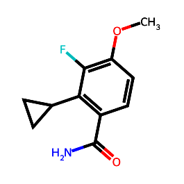 COc1ccc(C(N)=O)c(C2CC2)c1F